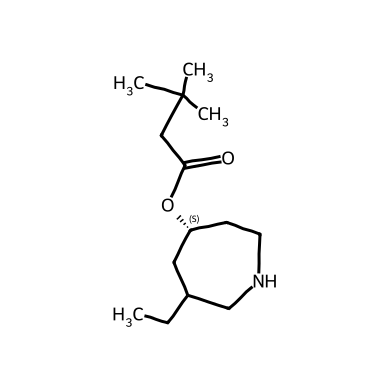 CCC1CNCC[C@@H](OC(=O)CC(C)(C)C)C1